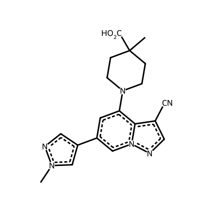 Cn1cc(-c2cc(N3CCC(C)(C(=O)O)CC3)c3c(C#N)cnn3c2)cn1